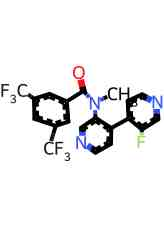 CN(C(=O)c1cc(C(F)(F)F)cc(C(F)(F)F)c1)c1cnccc1-c1ccncc1F